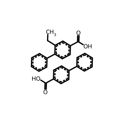 CCc1cc(C(=O)O)ccc1-c1ccccc1.O=C(O)c1ccc(-c2ccccc2)cc1